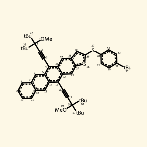 COC(C#Cc1c2cc3ccccc3cc2c(C#CC(OC)(C(C)(C)C)C(C)(C)C)c2cc3sc(Sc4ccc(C(C)(C)C)cc4)cc3cc12)(C(C)(C)C)C(C)(C)C